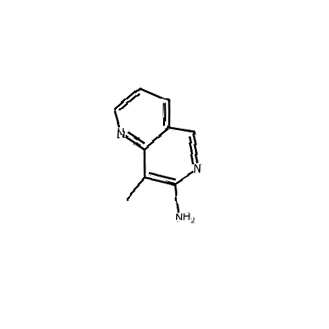 Cc1c(N)ncc2cccnc12